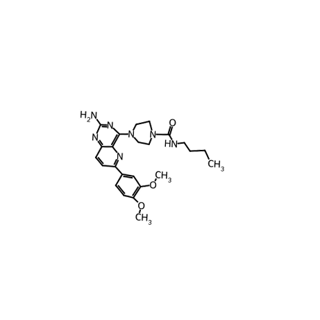 CCCCNC(=O)N1CCN(c2nc(N)nc3ccc(-c4ccc(OC)c(OC)c4)nc23)CC1